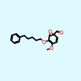 COC1=C(OCCCCCc2ccccc2)C2OC2(C=O)C=C1